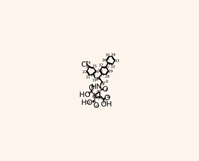 C[C@H](NC(=O)[C@H]1[C@H](C(=O)O)[C@H](C(=O)O)[C@@H]1C(=O)O)[C@H](Cc1ccc(Cl)cc1)c1ccc(-c2ccccc2)cc1